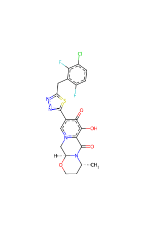 C[C@@H]1CCO[C@H]2Cn3cc(-c4nnc(Cc5c(F)ccc(Cl)c5F)s4)c(=O)c(O)c3C(=O)N12